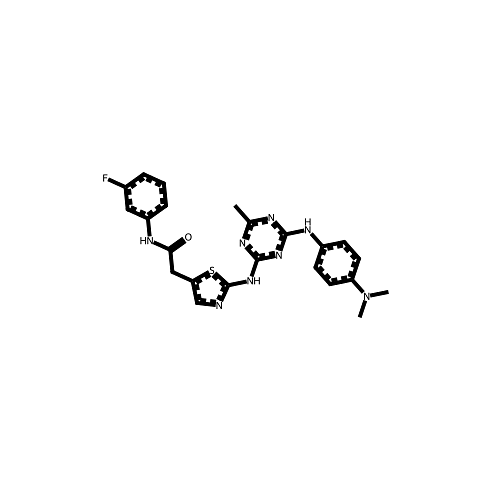 Cc1nc(Nc2ccc(N(C)C)cc2)nc(Nc2ncc(CC(=O)Nc3cccc(F)c3)s2)n1